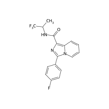 CC(NC(=O)c1nc(-c2ccc(F)cc2)n2ccccc12)C(F)(F)F